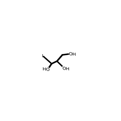 OCC(O)C(O)I